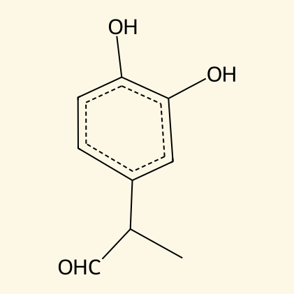 CC(C=O)c1ccc(O)c(O)c1